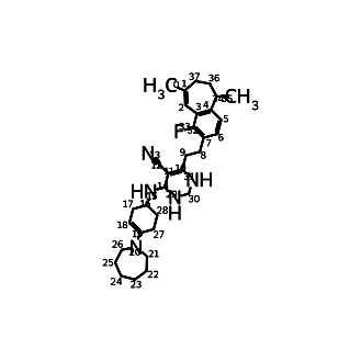 CC1=Cc2c(ccc(CCC3=C(C#N)C(NC4CC=C(N5CCCCCC5)CC4)NCN3)c2F)C(C)CC1